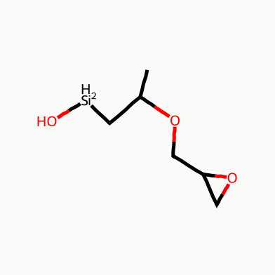 CC(C[SiH2]O)OCC1CO1